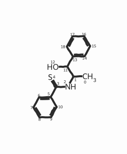 CC(NC(=S)c1ccccc1)C(O)c1ccccc1